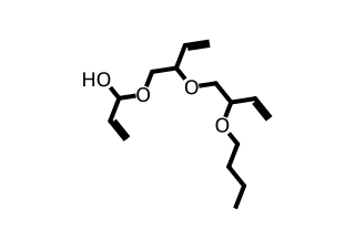 C=CC(O)OCC(C=C)OCC(C=C)OCCCC